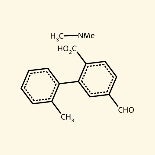 CNC.Cc1ccccc1-c1cc(C=O)ccc1C(=O)O